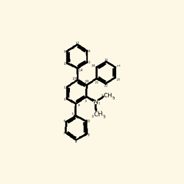 CN(C)c1c(-c2ccccc2)ccc(-c2ccccc2)c1-c1ccccc1